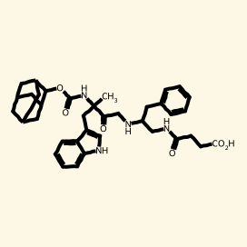 CC(Cc1c[nH]c2ccccc12)(NC(=O)OC1C2CC3CC(C2)CC1C3)C(=O)CNC(CNC(=O)CCC(=O)O)Cc1ccccc1